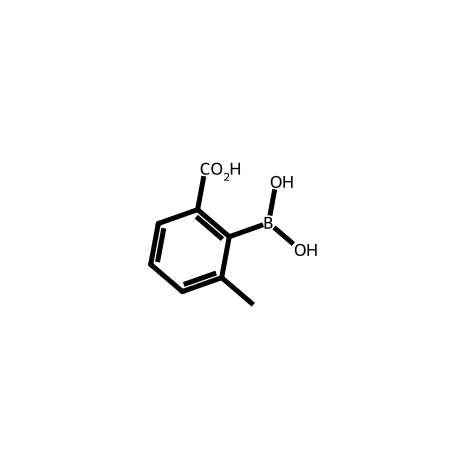 Cc1cccc(C(=O)O)c1B(O)O